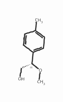 CO[C@H](CO)c1ccc(C)cc1